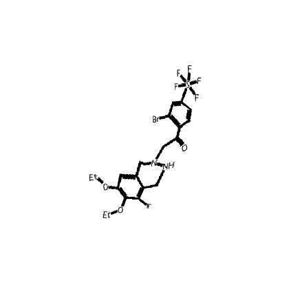 CCOc1cc2c(c(F)c1OCC)CNN(CC(=O)c1ccc(S(F)(F)(F)(F)F)cc1Br)C2